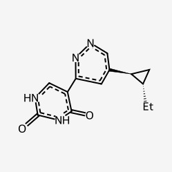 CC[C@H]1C[C@@H]1c1cnnc(-c2c[nH]c(=O)[nH]c2=O)c1